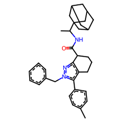 Cc1ccc(-c2c3c(nn2Cc2ccccc2)C(C(=O)NC(C)C24CC5CC(CC(C5)C2)C4)CCC3)cc1